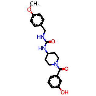 COc1ccc(CNC(=O)NC2CCN(C(=O)c3cccc(O)c3)CC2)cc1